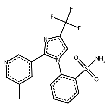 Cc1cncc(-c2nc(C(F)(F)F)cn2-c2ccccc2S(N)(=O)=O)c1